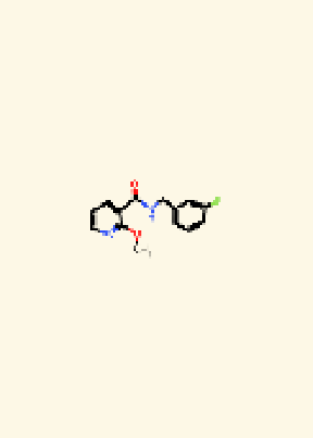 COc1ncccc1C(=O)NCc1cccc(F)c1